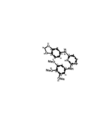 COc1cc(Nc2nccc(Nc3ccc4c(c3)OCO4)n2)cc(OC)c1OC